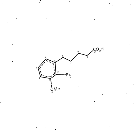 COc1cccc(CCCCC(=O)O)c1F